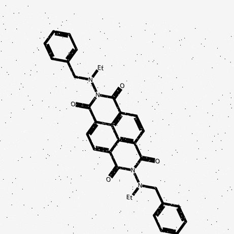 CCN(Cc1ccccc1)N1C(=O)c2ccc3c4c(ccc(c24)C1=O)C(=O)N(N(CC)Cc1ccccc1)C3=O